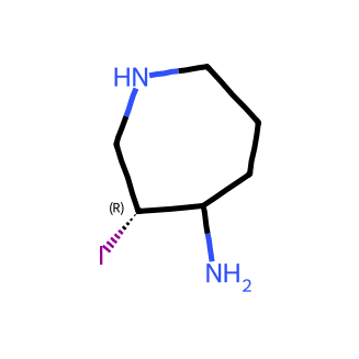 NC1CCCNC[C@H]1I